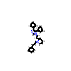 c1ccc(CCCN2CCCCC2CCn2cnc(-c3ccccc3)c2-c2ccccc2)cc1